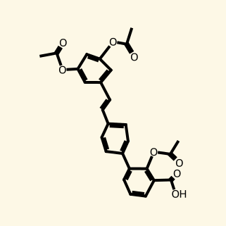 CC(=O)Oc1cc(C=Cc2ccc(-c3cccc(C(=O)O)c3OC(C)=O)cc2)cc(OC(C)=O)c1